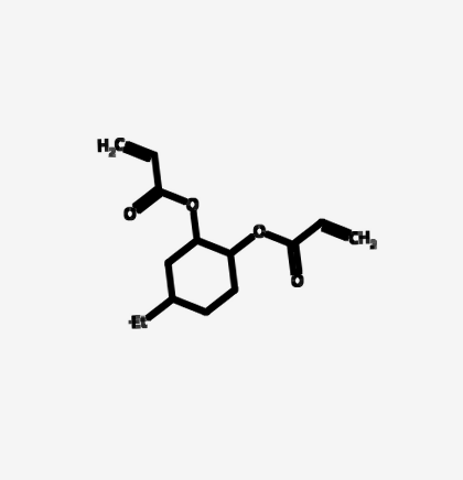 C=CC(=O)OC1CCC([CH]C)CC1OC(=O)C=C